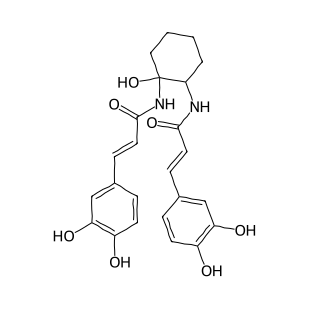 O=C(C=Cc1ccc(O)c(O)c1)NC1CCCCC1(O)NC(=O)C=Cc1ccc(O)c(O)c1